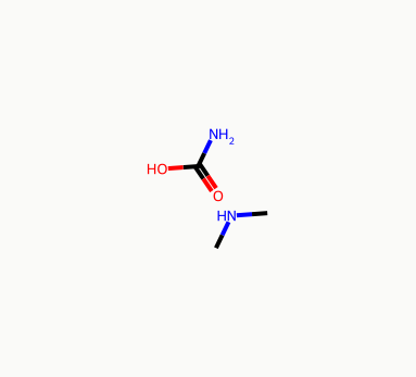 CNC.NC(=O)O